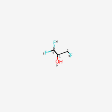 OC(CF)C(F)F